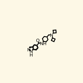 O=C(NC1CCC(CN(C2CCC2)C2CCC2)CC1)c1ccc2[nH]ncc2c1